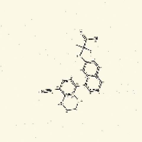 CC(C)(Sc1ccc2cncc(-c3ccc(C#N)c4c3OCCO4)c2c1)C(=O)O